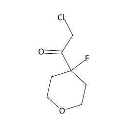 O=C(CCl)C1(F)CCOCC1